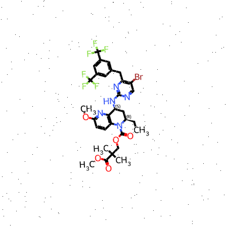 CC[C@@H]1C[C@H](Nc2ncc(Br)c(Cc3cc(C(F)(F)F)cc(C(F)(F)F)c3)n2)c2nc(OC)ccc2N1C(=O)OCC(C)(C)C(=O)OC